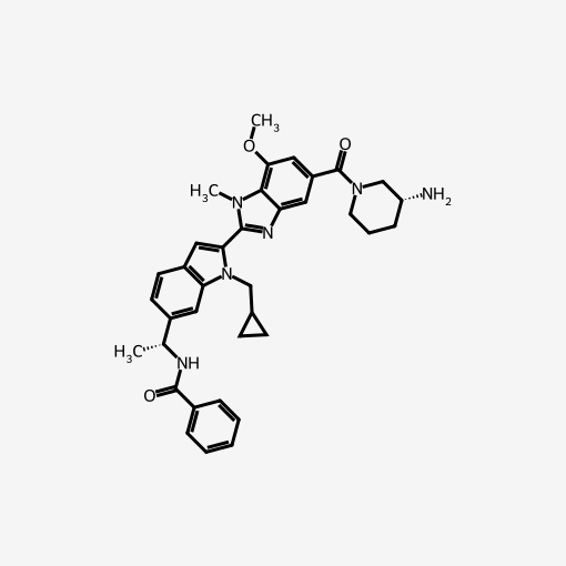 COc1cc(C(=O)N2CCC[C@@H](N)C2)cc2nc(-c3cc4ccc([C@@H](C)NC(=O)c5ccccc5)cc4n3CC3CC3)n(C)c12